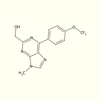 Cn1cnc2c(-c3ccc(OC(F)(F)F)cc3)nc(CO)nc21